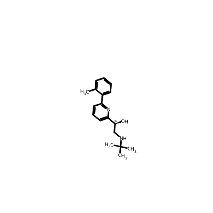 Cc1ccccc1-c1cccc([C@@H](O)CNC(C)(C)C)n1